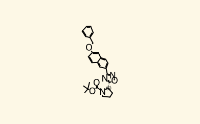 CC(C)(C)OC(=O)N1CCC[C@H]1c1nc(-c2ccc3cc(OCc4ccccc4)ccc3c2)no1